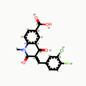 CN1C(=O)/C(=C/c2ccc(F)c(Cl)c2)C(=O)c2cc(C(=O)O)ccc21